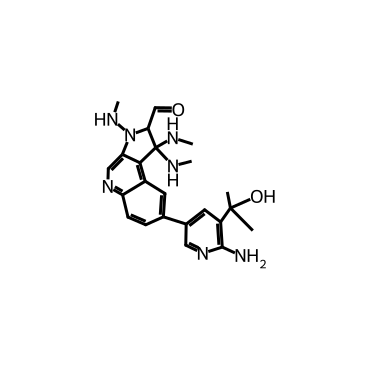 CNN1c2cnc3ccc(-c4cnc(N)c(C(C)(C)O)c4)cc3c2C(NC)(NC)C1C=O